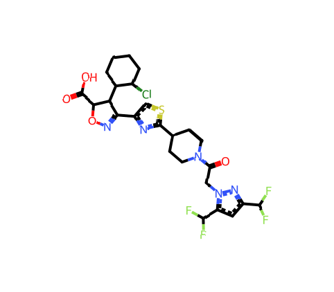 O=C(O)C1ON=C(c2csc(C3CCN(C(=O)Cn4nc(C(F)F)cc4C(F)F)CC3)n2)C1C1CCCCC1Cl